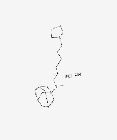 CN(CCCCCCN1CCCC1)C12CC3CC(CC(C3)C1)C2.Cl.Cl